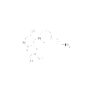 Cc1cc2ncc(C#N)c(N3CCCN(CCN)CC3)c2cc1C